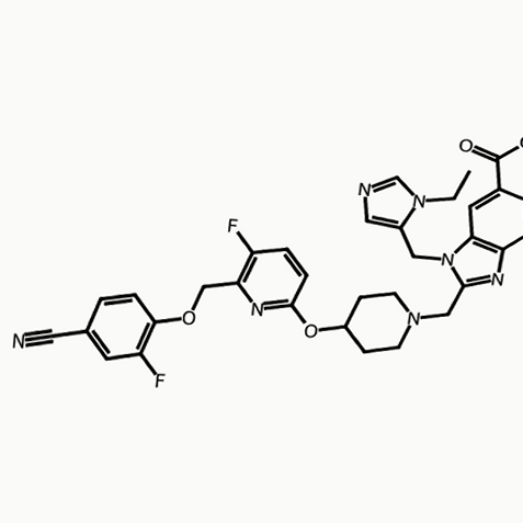 CCn1cncc1Cn1c(CN2CCC(Oc3ccc(F)c(COc4ccc(C#N)cc4F)n3)CC2)nc2ccc(C(=O)O)cc21